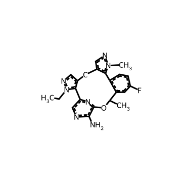 CCn1ncc2c1-c1cnc(N)c(n1)OC(C)c1cc(F)ccc1-c1c(cnn1C)C2